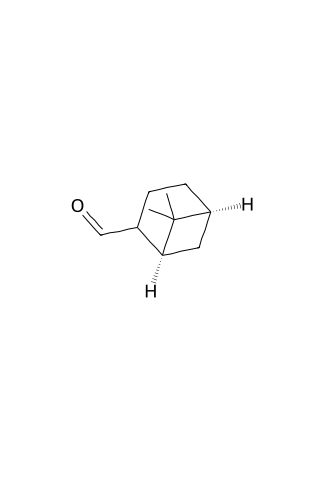 CC1(C)[C@H]2CCC(C=O)[C@@H]1C2